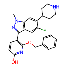 Cn1nc(-c2ccc(O)nc2OCc2ccccc2)c2cc(F)c(C3CCNCC3)cc21